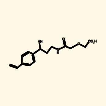 C=Cc1ccc(C(S)CCNC(=O)COCC(=O)O)cc1